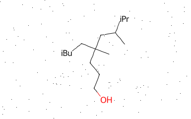 CCC(C)CC(C)(CCCO)CC(C)C(C)C